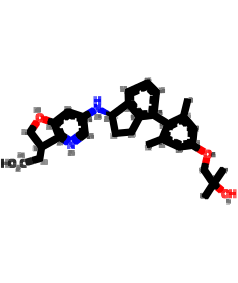 Cc1cc(OCC(C)(C)O)cc(C)c1-c1cccc2c1CC[C@H]2Nc1cnc2c(c1)OCC2CC(=O)O